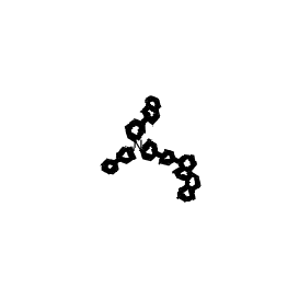 C1=Cc2ccc(-c3cccc(N(c4ccc(-c5ccccc5)cc4)c4ccc(-c5ccc(-c6cccc7c6ccc6c8ccccc8ccc76)cc5)cc4)c3)cc2CC1